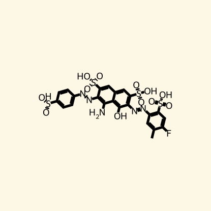 Cc1cc(/N=N/c2c(S(=O)(=O)O)cc3cc(S(=O)(=O)O)c(/N=N/c4ccc([SH](=O)=O)cc4)c(N)c3c2O)c(S(=O)(=O)O)cc1F